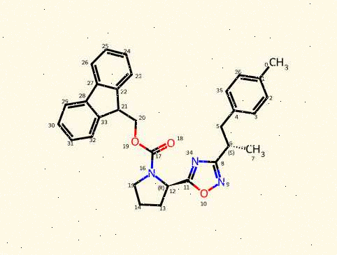 Cc1ccc(C[C@H](C)c2noc([C@H]3CCCN3C(=O)OCC3c4ccccc4-c4ccccc43)n2)cc1